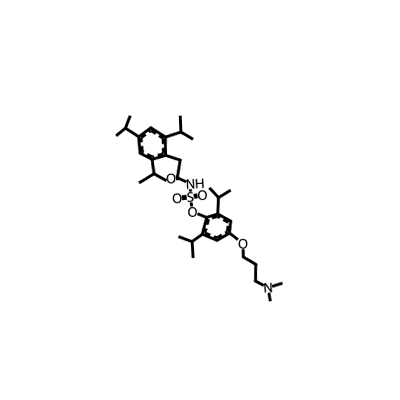 CC(C)c1cc(C(C)C)c(CC(=O)NS(=O)(=O)Oc2c(C(C)C)cc(OCCCN(C)C)cc2C(C)C)c(C(C)C)c1